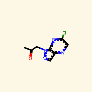 CC(=O)Cn1ncc2ncc(Cl)nc21